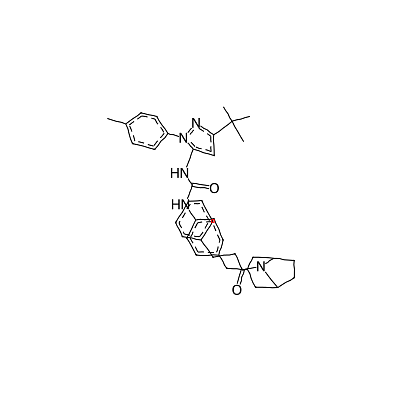 Cc1ccc(-n2nc(C(C)(C)C)cc2NC(=O)Nc2ccc(CC3CC4CCC(C3)N4C(=O)CCc3ccccc3)cc2)cc1